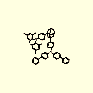 Cc1cc(C)c(B(c2ccc(C34CC5CC(C3)CC(c3ccc(N(c6ccc(-c7ccccc7)cc6)c6ccc(-c7ccccc7)cc6)cc3)(C5)C4)cc2)c2c(C)cc(C)cc2C)c(C)c1